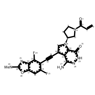 C=CC(=O)N1CC[C@H](n2cc(C#Cc3c(F)cc4oc(NC)nc4c3F)c3c(N)n[nH]c(=O)c32)C1